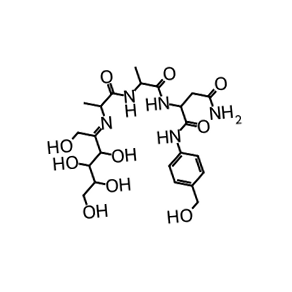 CC(/N=C(\CO)C(O)C(O)C(O)CO)C(=O)NC(C)C(=O)NC(CC(N)=O)C(=O)Nc1ccc(CO)cc1